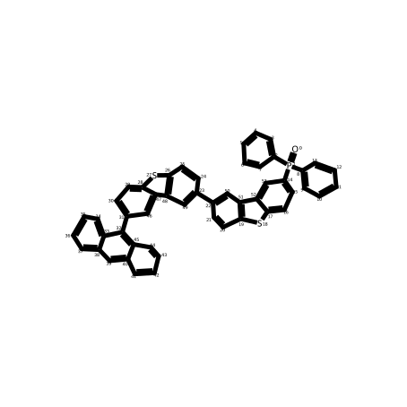 O=P(c1ccccc1)(c1ccccc1)c1ccc2sc3ccc(-c4ccc5sc6ccc(-c7c8ccccc8cc8ccccc78)cc6c5c4)cc3c2c1